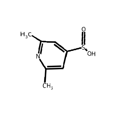 Cc1cc(S(=O)O)cc(C)n1